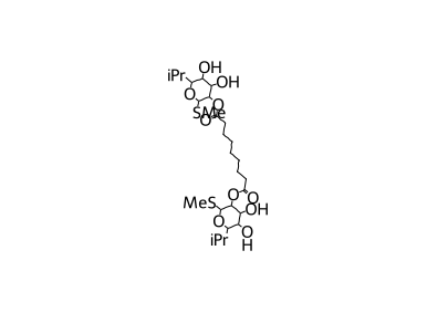 CSC1OC(C(C)C)C(O)C(O)C1OC(=O)CCCCCCCC(=O)OC1C(SC)OC(C(C)C)C(O)C1O